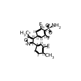 Cc1ccc(-c2noc(C)c2-c2cc(F)c(S(N)(=O)=O)c(F)c2)cc1F